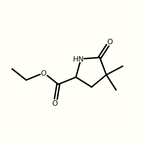 CCOC(=O)C1CC(C)(C)C(=O)N1